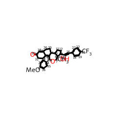 COc1ccc([C@@H]2OCC3(C)C(CC[C@@]3(O)C#Cc3ccc(C(F)(F)F)cc3)C3CCC4=CC(=O)CCC4=C32)cc1